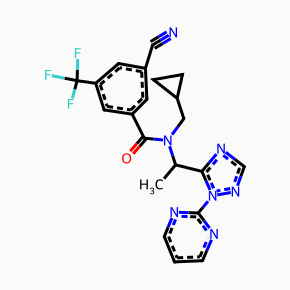 CC(c1ncnn1-c1ncccn1)N(CC1CC1)C(=O)c1cc(C#N)cc(C(F)(F)F)c1